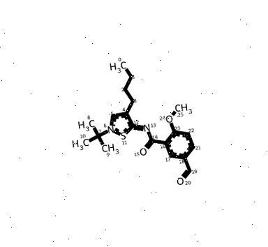 CCCCc1cn(C(C)(C)C)s/c1=N\C(=O)c1cc(C=O)ccc1OC